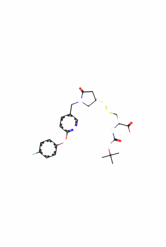 CC(C)(C)OC(=O)N[C@@H](CSS[C@@H]1CC(=O)N(Cc2ccc(Oc3ccc(F)cc3)nc2)C1)C(=O)O